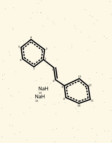 C(=Cc1ccccc1)c1ccccc1.[NaH].[NaH]